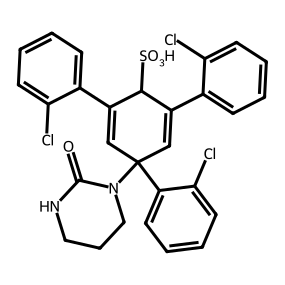 O=C1NCCCN1C1(c2ccccc2Cl)C=C(c2ccccc2Cl)C(S(=O)(=O)O)C(c2ccccc2Cl)=C1